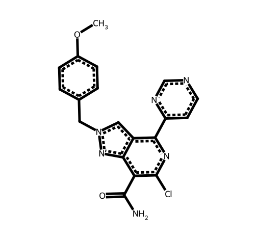 COc1ccc(Cn2cc3c(-c4ccncn4)nc(Cl)c(C(N)=O)c3n2)cc1